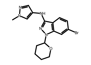 Cn1cc(Nc2nn(C3CCCCO3)c3cc(Br)ccc23)cn1